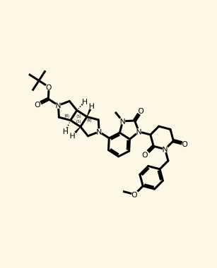 COc1ccc(CN2C(=O)CCC(n3c(=O)n(C)c4c(N5C[C@@H]6[C@H]7CN(C(=O)OC(C)(C)C)C[C@H]7[C@@H]6C5)cccc43)C2=O)cc1